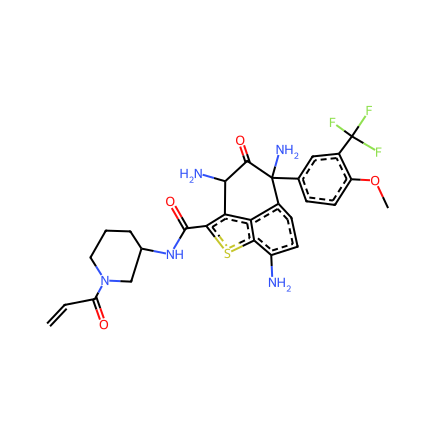 C=CC(=O)N1CCCC(NC(=O)c2sc3c(N)ccc4c3c2C(N)C(=O)C4(N)c2ccc(OC)c(C(F)(F)F)c2)C1